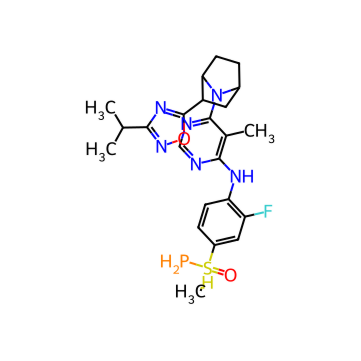 Cc1c(Nc2ccc([SH](C)(=O)P)cc2F)ncnc1N1C2CCC1C(c1nc(C(C)C)no1)C2